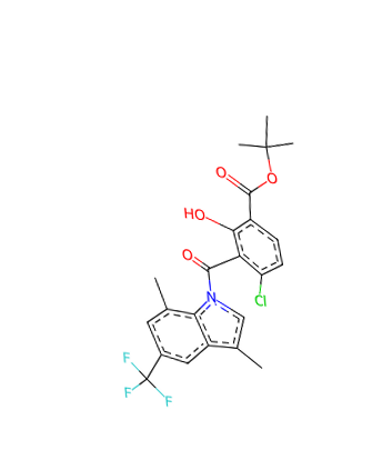 Cc1cn(C(=O)c2c(Cl)ccc(C(=O)OC(C)(C)C)c2O)c2c(C)cc(C(F)(F)F)cc12